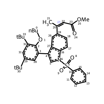 CCCCOc1c(-c2cn(S(=O)(=O)c3ccccc3)c3ccc(/C(C)=C\C(=O)OC)cc23)cc(C(C)(C)C)cc1C(C)(C)C